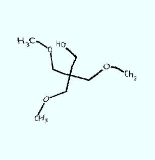 COCC(CO)(COC)COC